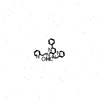 O=CN(Cc1ccccn1)c1ccc(-c2ccccc2)nc1NCCc1ccccn1